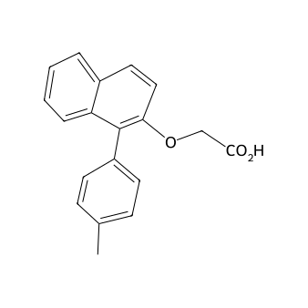 Cc1ccc(-c2c(OCC(=O)O)ccc3ccccc23)cc1